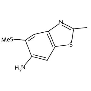 CSc1cc2nc(C)sc2cc1N